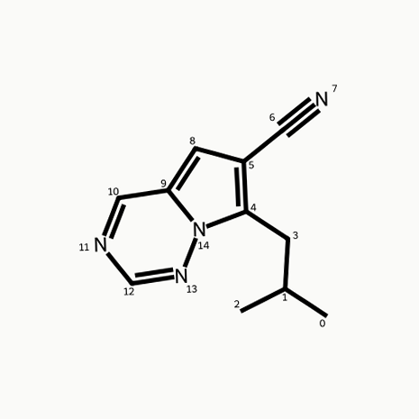 CC(C)Cc1c(C#N)cc2cncnn12